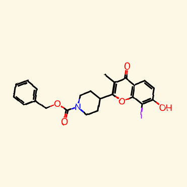 Cc1c(C2CCN(C(=O)OCc3ccccc3)CC2)oc2c(I)c(O)ccc2c1=O